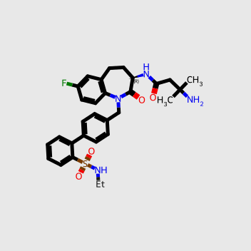 CCNS(=O)(=O)c1ccccc1-c1ccc(CN2C(=O)[C@H](NC(=O)CC(C)(C)N)CCc3cc(F)ccc32)cc1